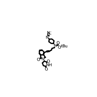 CC(C)(C)OC(=O)N(CCCC#Cc1cccc2c1CN(C1CCC(=O)NC1=O)C2=O)C1CCC(N=[N+]=[N-])CC1